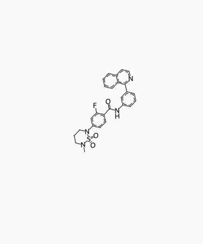 CN1CCCN(c2ccc(C(=O)Nc3cccc(-c4nccc5ccccc45)c3)c(F)c2)S1(=O)=O